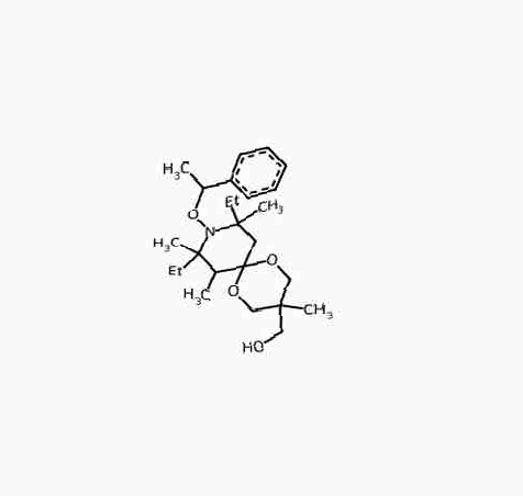 CCC1(C)CC2(OCC(C)(CO)CO2)C(C)C(C)(CC)N1OC(C)c1ccccc1